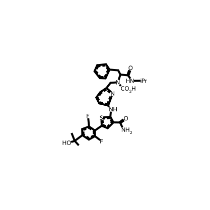 CC(C)NC(=O)C(Cc1ccccc1)N(Cc1cccc(Nc2sc(-c3c(F)cc(C(C)(C)O)cc3F)cc2C(N)=O)n1)C(=O)O